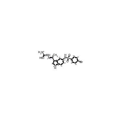 C/C(=N\NC(=N)N)c1c[nH]c2ccc(NS(=O)(=O)c3ccc(Br)cc3)cc12